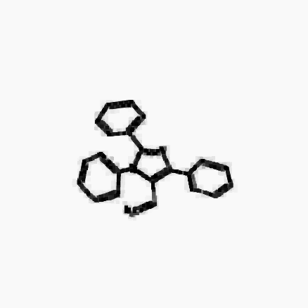 C=Cc1c(-c2ccccc2)nc(-c2ccccc2)n1-c1ccccc1